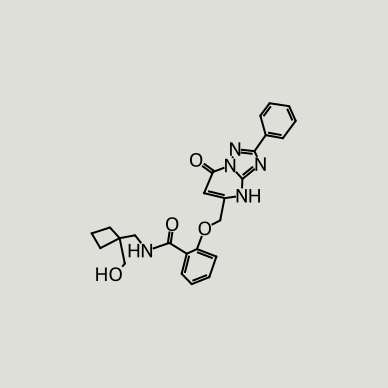 O=C(NCC1(CO)CCC1)c1ccccc1OCc1cc(=O)n2nc(-c3ccccc3)nc2[nH]1